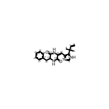 C=CC(C)(C)c1[nH]cnc1/C=C1/NC(=O)C(Cc2ccccc2)NC1=O